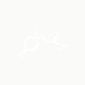 COC(=O)CCC1(C)C=CC(=O)CC1